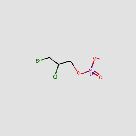 O=[PH](O)OCC(Cl)CBr